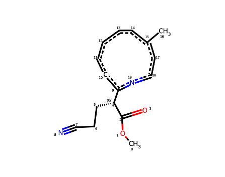 COC(=O)[C@H](CCC#N)c1cccccc(C)ccn1